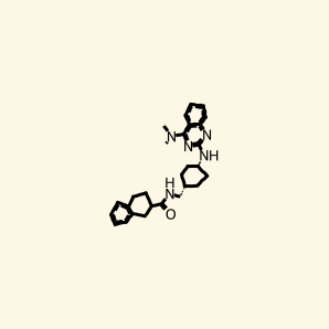 CN(C)c1nc(N[C@H]2CC[C@@H](CNC(=O)C3CCc4ccccc4C3)CC2)nc2ccccc12